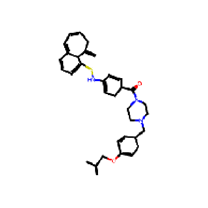 C=C1CC=CC=C2C=CC=C(SNC3=CCC(C(=O)N4CCN(CC5C=CC(OCC(C)C)=CC5)CC4)C=C3)C12